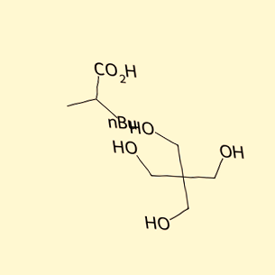 CCCCC(C)C(=O)O.OCC(CO)(CO)CO